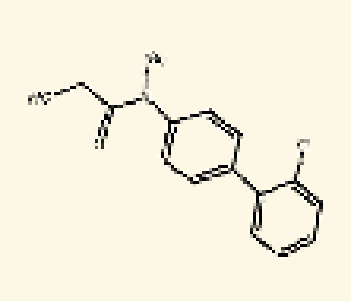 CC(C)(C)N(C(=O)CO)c1ccc(-c2ccccc2Cl)cc1